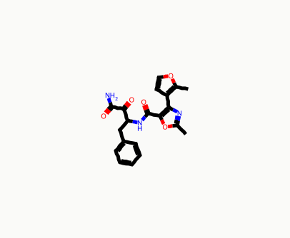 Cc1nc(-c2ccoc2C)c(C(=O)NC(Cc2ccccc2)C(=O)C(N)=O)o1